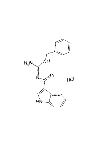 Cl.NC(=NC(=O)c1c[nH]c2ccccc12)NCc1ccccc1